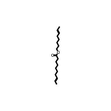 C/C=C/CCCCCCC(=O)OCCCCC/C=C/C